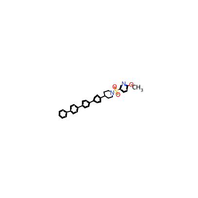 COc1ccc(S(=O)(=O)N2CCC(c3ccc(-c4ccc(-c5ccc(-c6ccccc6)cc5)cc4)cc3)CC2)cn1